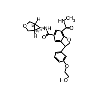 CNC(=O)c1cc(C(=O)N[C@H]2[C@@H]3COC[C@@H]32)cc2c1OCC2c1cccc(OCCO)c1